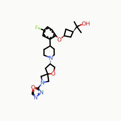 CC(C)(O)[C@H]1C[C@@H](Oc2ccc(F)cc2C2CCN([C@@H]3COC4(C3)CN(c3nnco3)C4)CC2)C1